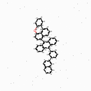 c1cc(-c2ccc3ccccc3c2)cc(-c2c3ccccc3c(-c3ccc4c5c(cccc35)-c3ccccc3O4)c3ccccc23)c1